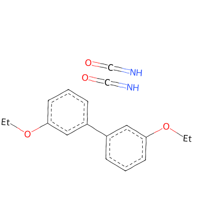 CCOc1cccc(-c2cccc(OCC)c2)c1.N=C=O.N=C=O